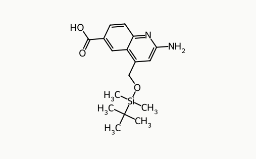 CC(C)(C)[Si](C)(C)OCc1cc(N)nc2ccc(C(=O)O)cc12